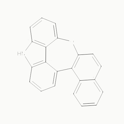 c1ccc2c(c1)ccc1oc3cccc4[nH]c5cccc(c12)c5c43